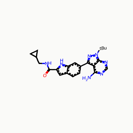 CC(C)(C)n1nc(-c2ccc3cc(C(=O)NCC4CC4)[nH]c3c2)c2c(N)ncnc21